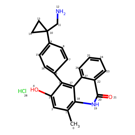 Cc1cc(O)c(-c2ccc(C3(CN)CC3)cc2)c2c1[nH]c(=O)c1ccccc12.Cl